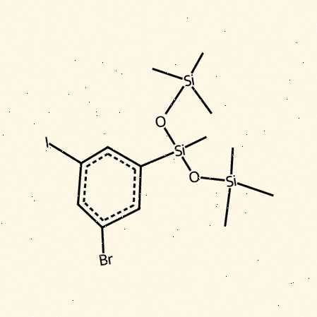 C[Si](C)(C)O[Si](C)(O[Si](C)(C)C)c1cc(Br)cc(I)c1